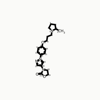 CC1CCCN1CCCOc1ccc(-n2cc(N3CCOC3=O)cn2)cc1